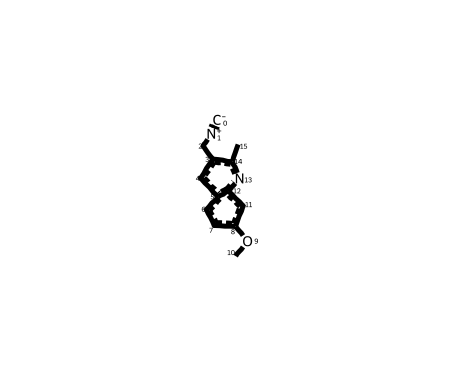 [C-]#[N+]Cc1cc2ccc(OC)cc2nc1C